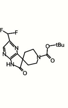 CC(C)(C)OC(=O)N1CCC2(CC1)C(=O)Nc1ncc(C(F)F)nc12